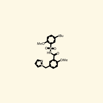 COc1ccc(Cn2cccn2)cc1C(=O)NS(=O)(=O)c1cc(C(C)(C)C)ccc1OC